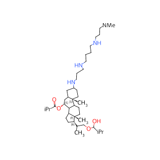 CNCCCNCCCCNCCCNC1CC[C@@]2(C)C(C1)C[C@H](OC(=O)C(C)C)C1C2CC[C@@]2(C)C1CC[C@@H]2C(C)COC(O)C(C)C